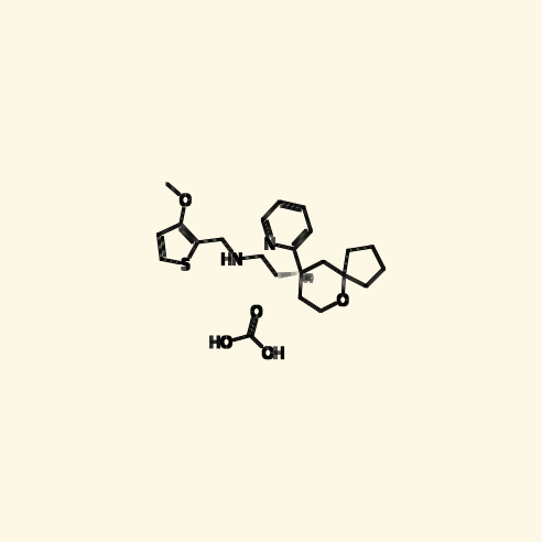 COc1ccsc1CNCC[C@@]1(c2ccccn2)CCOC2(CCCC2)C1.O=C(O)O